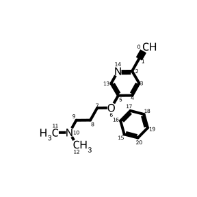 C#Cc1ccc(OCCCN(C)C)cn1.c1ccccc1